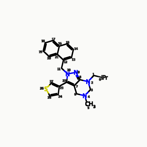 CC(C)CN1CN(C)Cc2c1nn(Cc1cccc3ccccc13)c2-c1ccsc1